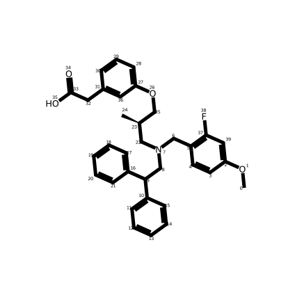 COc1ccc(CN(CC(c2ccccc2)c2ccccc2)C[C@@H](C)COc2cccc(CC(=O)O)c2)c(F)c1